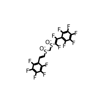 [O-][S+](C=Cc1c(F)c(F)c(F)c(F)c1F)C[S+]([O-])C(F)=C(F)c1c(F)c(F)c(F)c(F)c1F